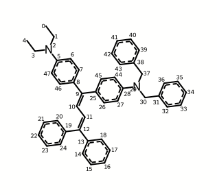 CCN(CC)c1ccc(C(=CC=C(c2ccccc2)c2ccccc2)c2ccc(N(Cc3ccccc3)Cc3ccccc3)cc2)cc1